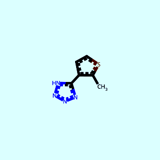 Cc1sccc1-c1nnn[nH]1